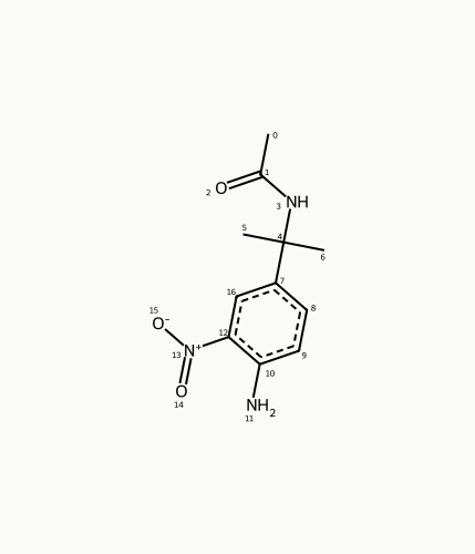 CC(=O)NC(C)(C)c1ccc(N)c([N+](=O)[O-])c1